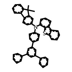 CC1(C)c2ccccc2-c2ccc(N(c3ccc(-c4cc(-c5ccccc5)cc(-c5ccccc5)c4)cc3)c3cccc4c3sc3ccccc34)cc21